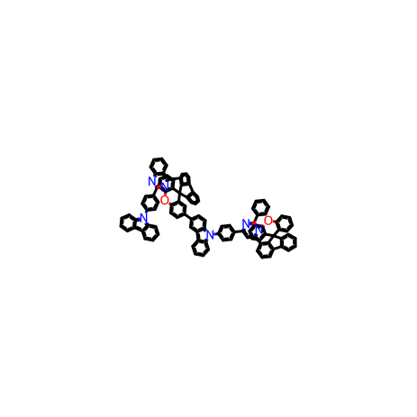 c1ccc(-c2nc(-c3ccc(-n4c5ccccc5c5cc(-c6ccc7c(c6)C6(c8ccccc8O7)c7ccccc7-c7cccc(-c8nc(-c9ccc(-n%10c%11ccccc%11c%11ccccc%11%10)cc9)nc9ccccc89)c76)ccc54)cc3)cc(-c3cccc4c3C3(c5ccccc5Oc5ccccc53)c3ccccc3-4)n2)cc1